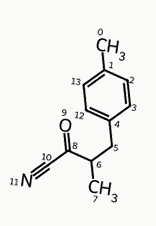 Cc1ccc(CC(C)C(=O)C#N)cc1